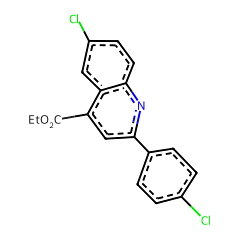 CCOC(=O)c1cc(-c2ccc(Cl)cc2)nc2ccc(Cl)cc12